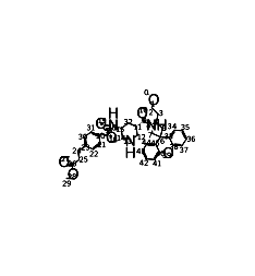 COCCCCC1(CNC(=O)[C@@H]2CNC[C@H](NS(=O)(=O)c3ccc(CCC(=O)OC)cc3)C2)c2ccccc2Oc2ccccc21